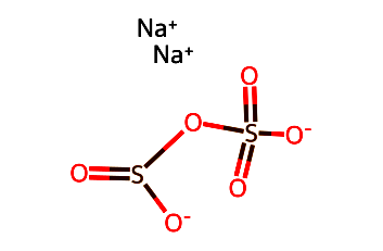 O=S([O-])OS(=O)(=O)[O-].[Na+].[Na+]